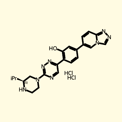 CC(C)[C@H]1CN(c2ncc(-c3ccc(-c4ccc5nncn5c4)cc3O)nn2)CCN1.Cl.Cl